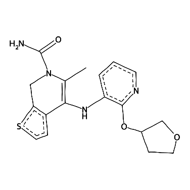 CC1=C(Nc2cccnc2OC2CCOC2)c2ccsc2CN1C(N)=O